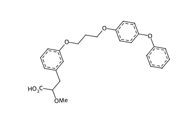 COC(Cc1cccc(OCCCOc2ccc(Oc3ccccc3)cc2)c1)C(=O)O